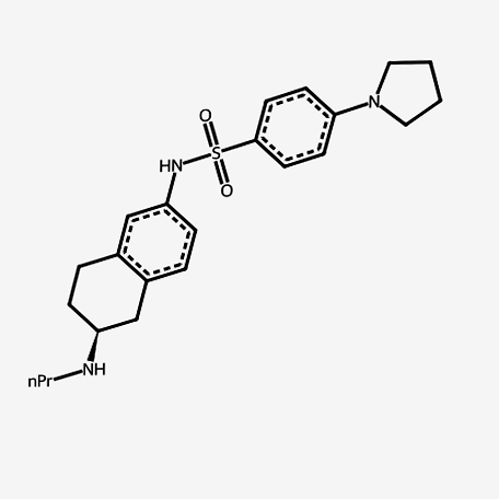 CCCN[C@H]1CCc2cc(NS(=O)(=O)c3ccc(N4CCCC4)cc3)ccc2C1